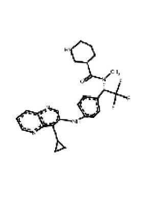 CN(C(=O)C1CCCNC1)[C@@H](c1ccc(Nc2cnc3cccnc3c2C2CC2)cc1)C(F)(F)F